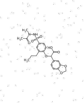 CCCc1cc(S(=O)(=O)NN(C)C(C)=O)ccc1OC(C(=O)O)c1ccc2c(c1)OCO2